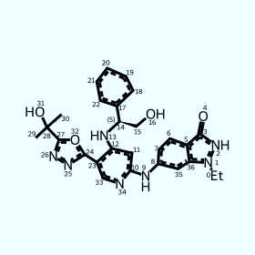 CCn1[nH]c(=O)c2ccc(Nc3cc(N[C@H](CO)c4ccccc4)c(-c4nnc(C(C)(C)O)o4)cn3)cc21